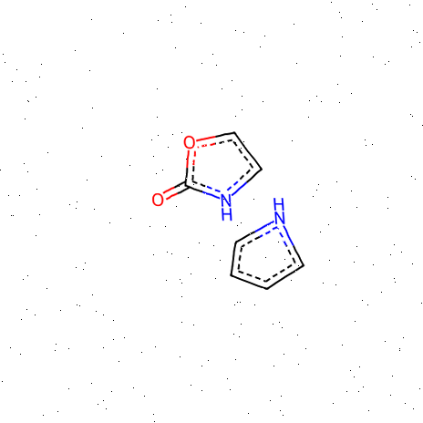 O=c1[nH]cco1.c1cc[nH]c1